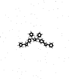 c1ccc(-c2ccc(-c3ccc(N(c4ccccc4)c4ccc(N(c5ccccc5)c5ccc(-c6ccc(-c7ccccc7)s6)cc5)s4)cc3)s2)cc1